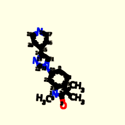 CN1C(=O)C(C)(C)c2ccc(-n3cnc(-c4ccncc4)c3)cc21